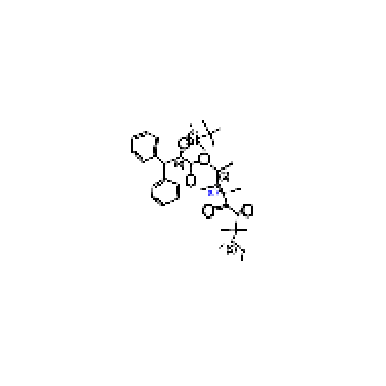 CC[C@H](C)C(C)(C)C(=O)C(=O)/C(C)=C(\C)[C@H](C)OC(=O)[C@H](O[Si](C)(C)C(C)(C)C)C(c1ccccc1)c1ccccc1